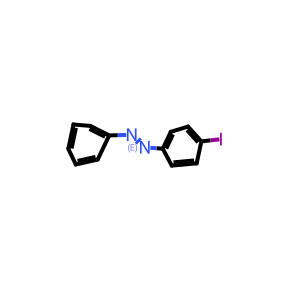 Ic1ccc(/N=N/c2ccccc2)cc1